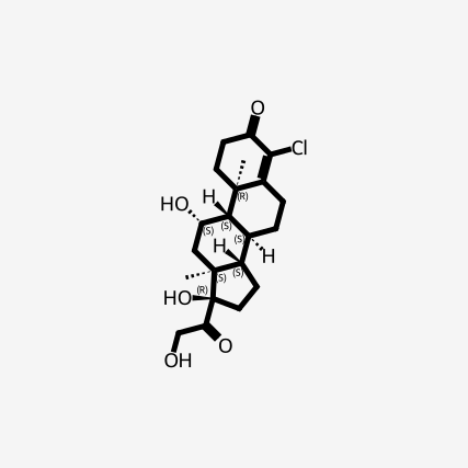 C[C@]12CCC(=O)C(Cl)=C1CC[C@@H]1[C@@H]2[C@@H](O)C[C@@]2(C)[C@H]1CC[C@]2(O)C(=O)CO